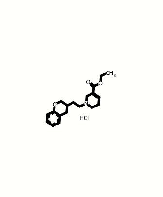 CCOC(=O)C1=CCCN(CCC2COc3ccccc3C2)C1.Cl